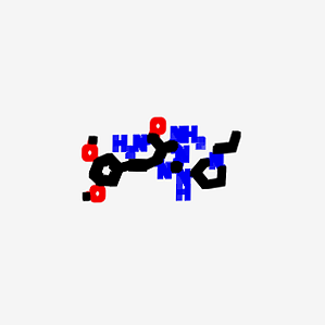 CC=CN1CCC[C@H](Nc2nc(N)c(C(N)=O)c(C#Cc3cc(OC)cc(OC)c3)n2)C1